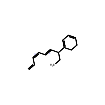 C=C/C=C\C=C\C(CN)C1=CC=CCC1